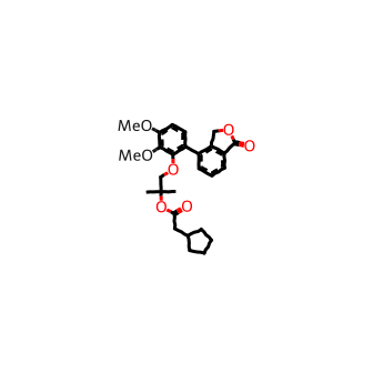 COc1ccc(-c2cccc3c2COC3=O)c(OCC(C)(C)OC(=O)CC2CCCC2)c1OC